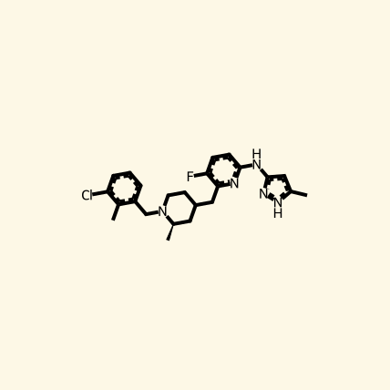 Cc1cc(Nc2ccc(F)c(CC3CCN(Cc4cccc(Cl)c4C)[C@H](C)C3)n2)n[nH]1